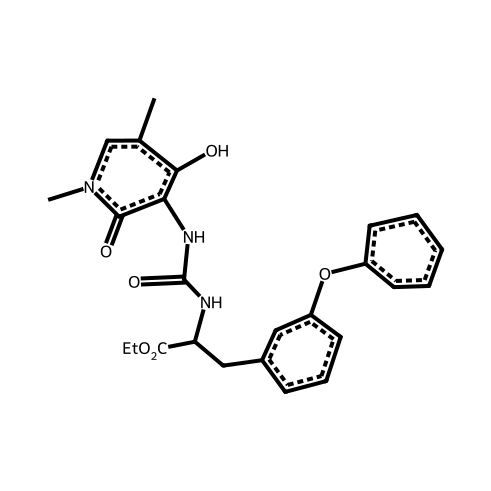 CCOC(=O)C(Cc1cccc(Oc2ccccc2)c1)NC(=O)Nc1c(O)c(C)cn(C)c1=O